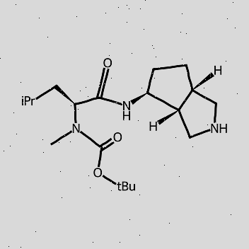 CC(C)C[C@@H](C(=O)N[C@H]1CC[C@@H]2CNC[C@@H]21)N(C)C(=O)OC(C)(C)C